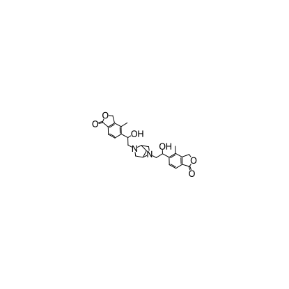 Cc1c(C(O)CN2CC3CC2CN3CC(O)c2ccc3c(c2C)COC3=O)ccc2c1COC2=O